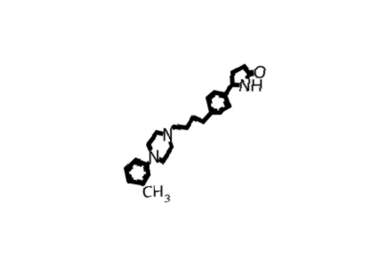 Cc1cccc(N2CCN(CCCCc3ccc(C4CCC(=O)N4)cc3)CC2)c1